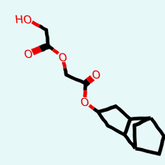 O=C(CO)OCC(=O)OC1CC2C3CCC(C3)C2C1